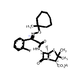 CC1(O/N=C(\C(=O)N[C@H]2C(=O)N3[C@@H]2SC(C)(C)[C@@H]3C(=O)O)c2ccccc2F)CCCCCC1